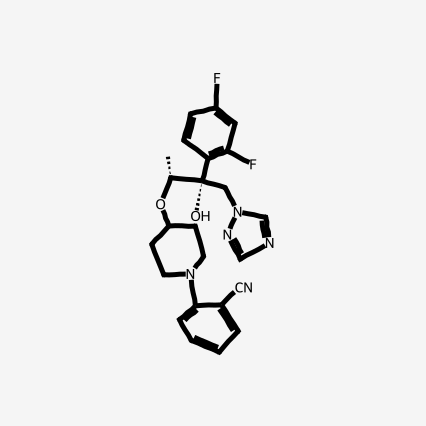 C[C@@H](OC1CCN(c2ccccc2C#N)CC1)[C@](O)(Cn1cncn1)c1ccc(F)cc1F